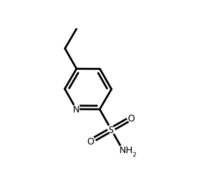 CCc1ccc(S(N)(=O)=O)nc1